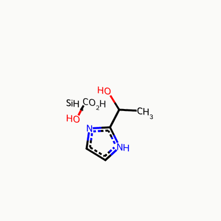 CC(O)c1ncc[nH]1.O=C(O)O.[SiH4]